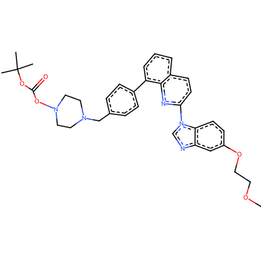 COCCOc1ccc2c(c1)ncn2-c1ccc2cccc(-c3ccc(CN4CCN(OC(=O)OC(C)(C)C)CC4)cc3)c2n1